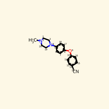 CN1CCN(c2ccc(Oc3ccc(C#N)cc3)cc2)CC1